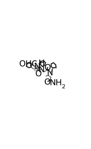 CC(CC(N)=O)N(Cc1ccccc1)C(=O)CNC(=O)[C@H](Cc1ccccc1)N(C=O)c1ccccc1